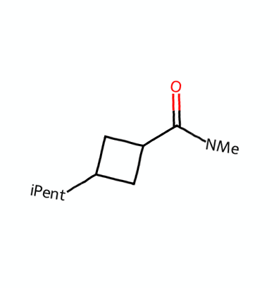 CCCC(C)C1CC(C(=O)NC)C1